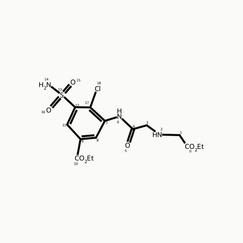 CCOC(=O)CNCC(=O)Nc1cc(C(=O)OCC)cc(S(N)(=O)=O)c1Cl